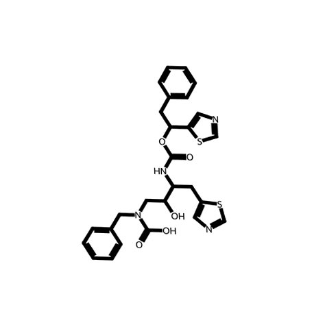 O=C(NC(Cc1cncs1)C(O)CN(Cc1ccccc1)C(=O)O)OC(Cc1ccccc1)c1cncs1